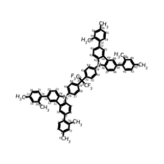 Cc1ccc(-c2ccc3c(c2)c2cc(-c4ccc(C)cc4C)ccc2n3-c2ccc(C(c3ccc(-n4c5ccc(-c6ccc(C)cc6C)cc5c5cc(-c6ccc(C)cc6C)ccc54)cc3)(C(F)(F)F)C(F)(F)F)cc2)c(C)c1